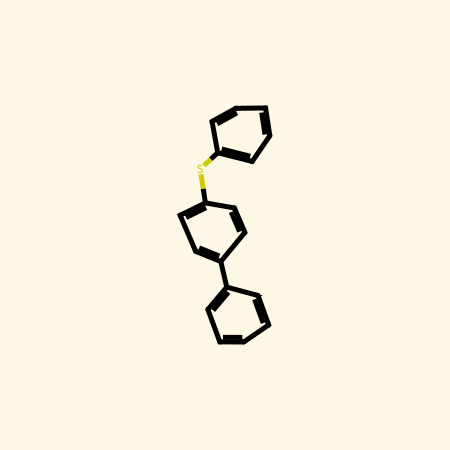 [c]1ccccc1-c1ccc(Sc2ccccc2)cc1